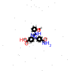 COc1ccccc1Nc1nc2cc(C(=O)O)ccc2n1-c1ccc(C(N)=O)cc1